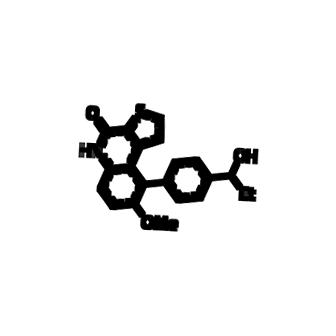 CCC(O)c1ccc(-c2c(OC)ccc3[nH]c(=O)c4sccc4c23)cc1